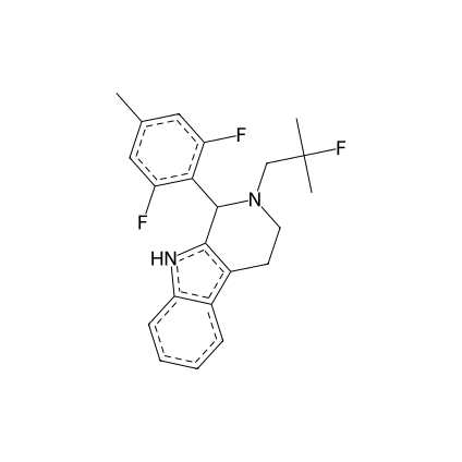 Cc1cc(F)c(C2c3[nH]c4ccccc4c3CCN2CC(C)(C)F)c(F)c1